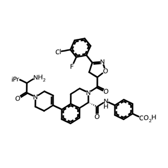 CC(C)C(N)C(=O)N1CC=C(c2cccc3c2CCN(C(=O)C2CC(c4cccc(Cl)c4F)=NO2)[C@@H]3C(=O)Nc2ccc(C(=O)O)cc2)CC1